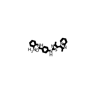 Cc1nc(Nc2ccc(C(=O)Nc3ccccc3N)cc2)sc1-c1c(C)nc2ccccn12